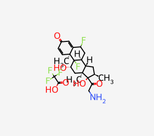 C[C@@H]1C[C@H]2[C@@H]3C[C@H](F)C4=CC(=O)C=C[C@]4(C)[C@@]3(F)[C@@H](O)C[C@]2(C)[C@@]1(O)C(=O)CN.O=C(O)C(F)(F)F